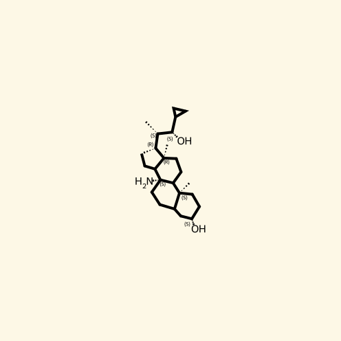 C[C@@H]([C@H]1CCC2[C@]3(N)CCC4C[C@@H](O)CC[C@]4(C)C3CC[C@@]21C)[C@@H](O)C1CC1